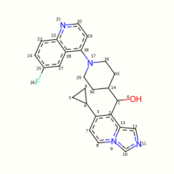 OC(c1c(C2CC2)ccn2cncc12)C1CCN(c2ccnc3ccc(F)cc23)CC1